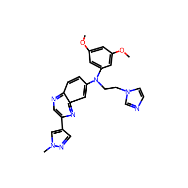 COc1cc(OC)cc(N(CCn2ccnc2)c2ccc3ncc(-c4cnn(C)c4)nc3c2)c1